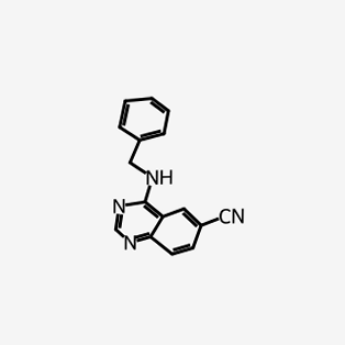 N#Cc1ccc2ncnc(NCc3ccccc3)c2c1